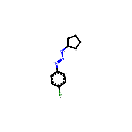 Brc1ccc(/N=N/NC2CCCC2)cc1